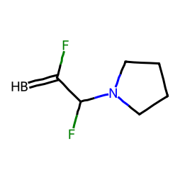 B=C(F)C(F)N1CCCC1